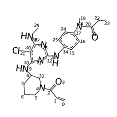 C=CC(=O)N1CCCC(Nc2nc(Nc3ccc(N(C)C(=O)CC)cc3)nc(NC)c2Cl)C1